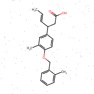 C/C=C/C(CC(=O)O)c1ccc(OCc2ccccc2C)c(C)c1